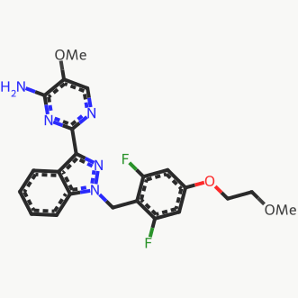 COCCOc1cc(F)c(Cn2nc(-c3ncc(OC)c(N)n3)c3ccccc32)c(F)c1